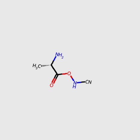 C[C@H](N)C(=O)ONC#N